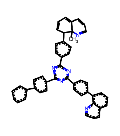 CC12N=CC=CC1=CC=CC2c1ccc(-c2nc(-c3ccc(-c4ccccc4)cc3)nc(-c3ccc(-c4cccc5cccnc45)cc3)n2)cc1